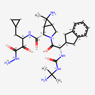 CC(C)(N)NC(=O)N[C@H](C(=O)N1CC2C([C@H]1C(=O)NC(CC1CC1)C(=O)C(=O)NN)C2(C)N)C1Cc2ccccc2C1